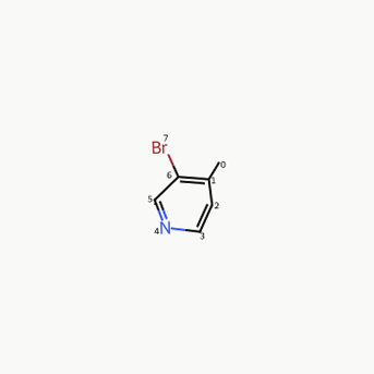 Cc1ccn[c]c1Br